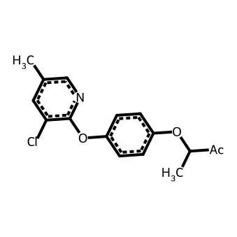 CC(=O)C(C)Oc1ccc(Oc2ncc(C)cc2Cl)cc1